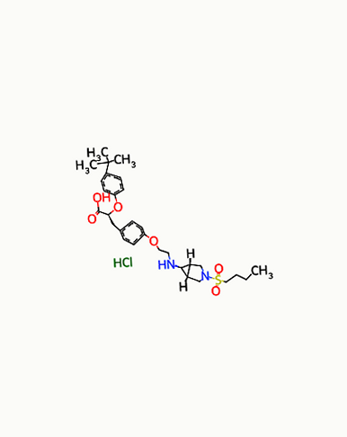 CCCCS(=O)(=O)N1C[C@@H]2[C@H](C1)[C@H]2NCCOc1ccc(C[C@H](Oc2ccc(C(C)(C)C)cc2)C(=O)O)cc1.Cl